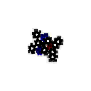 c1ccc(-c2cc(-c3ccccc3)c3c4c2-n2nnc5cc6c(oc7ccc8ccccc8c76)c(c52)B4c2c4oc5ccc6ccccc6c5c4cc4nnn-3c24)cc1